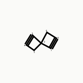 C1#CC2(C#CC2)C1